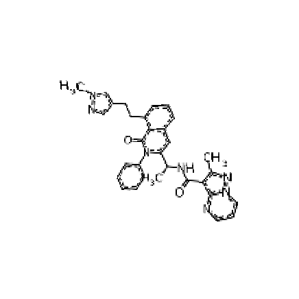 Cc1nn2cccnc2c1C(=O)N[C@@H](C)c1cc2cccc(CCc3cnn(C)c3)c2c(=O)n1-c1ccccc1